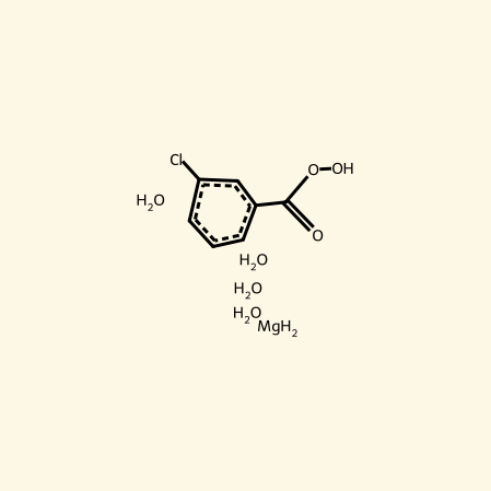 O.O.O.O.O=C(OO)c1cccc(Cl)c1.[MgH2]